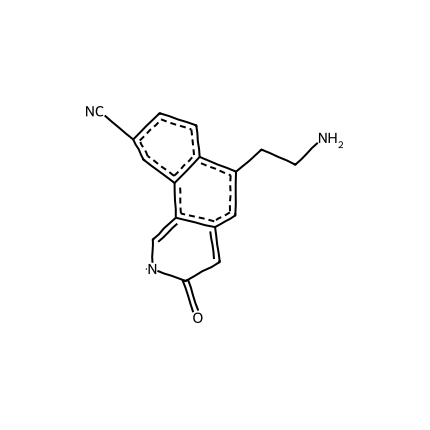 N#Cc1ccc2c(CCN)cc3c(c2c1)=C[N]C(=O)C=3